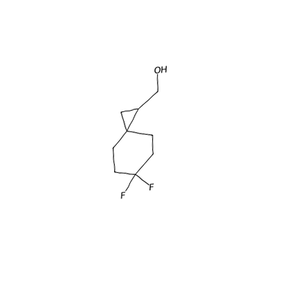 OCC1CC12CCC(F)(F)CC2